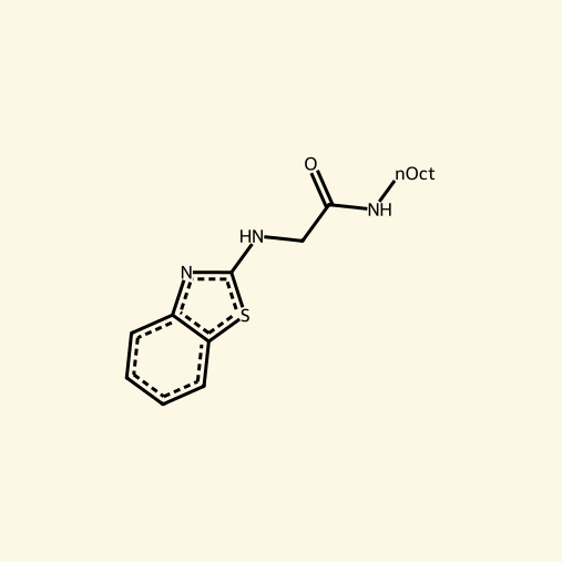 CCCCCCCCNC(=O)CNc1nc2ccccc2s1